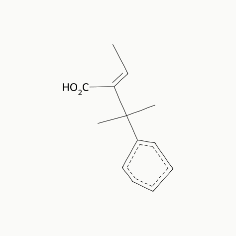 CC=C(C(=O)O)C(C)(C)c1ccccc1